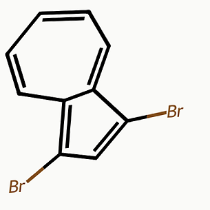 Brc1cc(Br)c2cccccc1-2